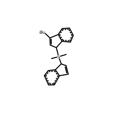 CCC(C)C1=CC([Si](C)(C)C2C=Cc3ccccc32)c2ccccc21